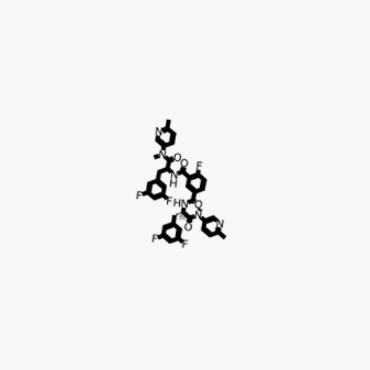 Cc1ccc(N(C)C(=O)C(Cc2cc(F)cc(F)c2)NC(=O)c2cc(C(=O)N[C@@H](Cc3cc(F)cc(F)c3)C(=O)N(C)c3ccc(C)nc3)ccc2F)cn1